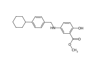 COC(=O)c1cc(NCc2ccc(C3CCCCC3)cc2)ccc1O